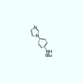 CC(C)(C)Nc1ccc(-n2ccnc2)cc1